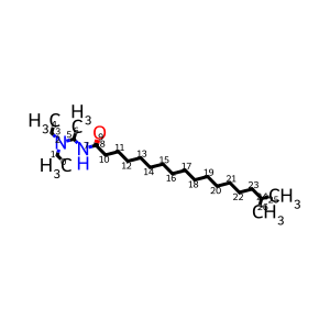 CCN(CC)C(C)NC(=O)CCCCCCCCCCCCCCC(C)C